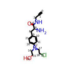 C#CCNC(=O)[C@@H](N)Cc1ccc(N(CCO)CCCl)cc1